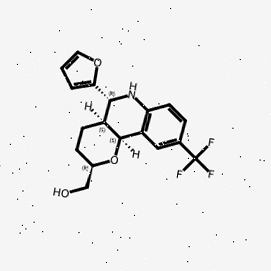 OC[C@H]1CC[C@@H]2[C@H](O1)c1cc(C(F)(F)F)ccc1N[C@H]2c1ccco1